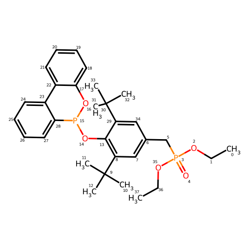 CCOP(=O)(Cc1cc(C(C)(C)C)c(OP2Oc3ccccc3-c3ccccc32)c(C(C)(C)C)c1)OCC